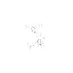 Cn1nc(C(F)F)c(CSC2=NOC(C)(C)C2)c1OCC(F)F